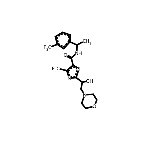 CC(NC(=O)c1sc(C(O)CN2CCOCC2)nc1C(F)(F)F)c1cccc(C(F)(F)F)c1